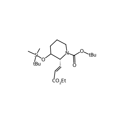 CCOC(=O)/C=C/[C@@H]1C(O[Si](C)(C)C(C)(C)C)CCCN1C(=O)OC(C)(C)C